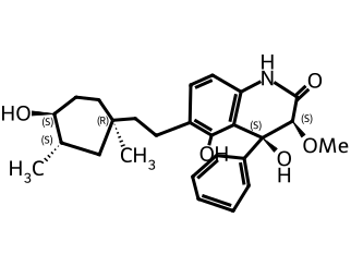 CO[C@@H]1C(=O)Nc2ccc(CC[C@]3(C)CC[C@H](O)[C@@H](C)C3)c(O)c2[C@@]1(O)c1ccccc1